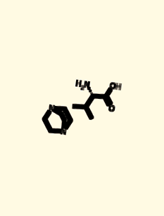 C1CN2CCN1CC2.CC(C)[C@H](N)C(=O)O